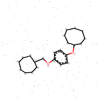 c1cc(OC2CCCCCCC2)ccc1OCC1CCCCCCC1